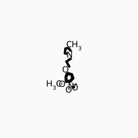 COc1cc(OCCCN2CCC(C)C2)ccc1[N+](=O)[O-]